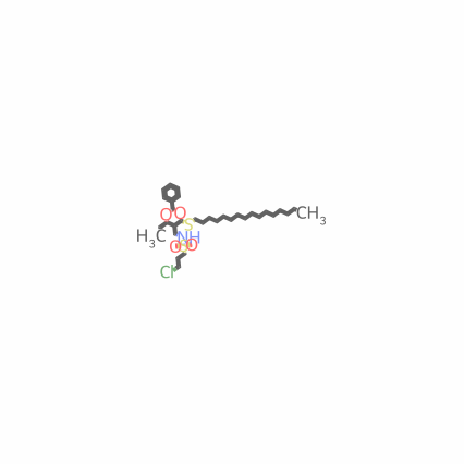 CCCCCCCCCCCCCCCCSCC(CNS(=O)(=O)CCCCl)C(CC)OC(=O)c1ccccc1